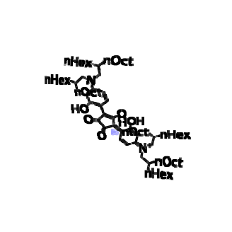 CCCCCCCCC(CCCCCC)CN(CC(CCCCCC)CCCCCCCC)c1ccc(C2=C(O)/C(=C3/C=CC(=[N+](CC(CCCCCC)CCCCCCCC)CC(CCCCCC)CCCCCCCC)C=C3O)C(=O)C2=O)c(O)c1